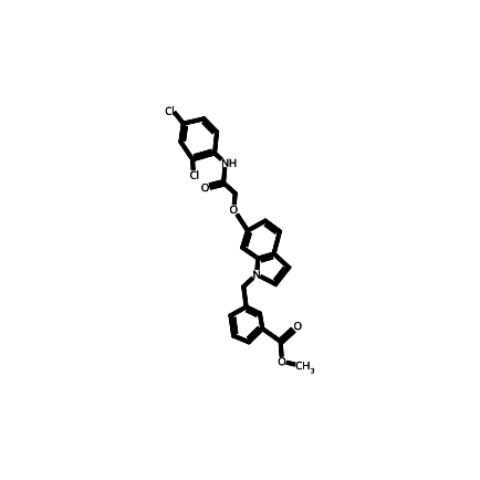 COC(=O)c1cccc(Cn2ccc3ccc(OCC(=O)Nc4ccc(Cl)cc4Cl)cc32)c1